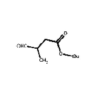 CC([C]=O)CC(=O)OC(C)(C)C